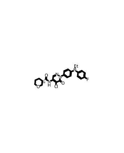 CCN(c1ccc(F)cc1)c1ccc(-n2ncc(NC(=O)[C@H]3CCCOC3)c(Cl)c2=O)cc1